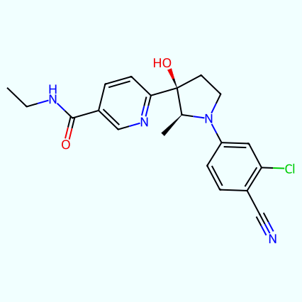 CCNC(=O)c1ccc([C@]2(O)CCN(c3ccc(C#N)c(Cl)c3)[C@H]2C)nc1